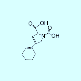 O=C(O)C1C=C(C2=CCCCC2)CN1C(=O)O